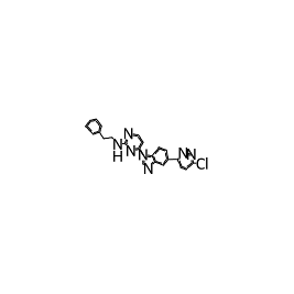 Clc1ccc(-c2ccc3c(c2)ncn3-c2ccnc(NCCc3ccccc3)n2)nn1